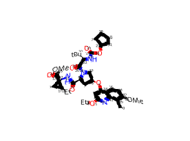 CCOc1cc(O[C@@H]2C[C@@H](C(=O)N[C@]3(C(=O)OC)C[C@H]3CC)N(C(=O)[C@@H](NC(=O)OC3CCCC3)C(C)(C)C)C2)c2ccc(OC)c(C)c2n1